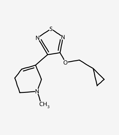 CN1CCC=C(c2nsnc2OCC2CC2)C1